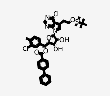 Cc1ccc([C@@H](OC(=O)c2ccc(-c3ccccc3)cc2)[C@H]2O[C@@H](n3cc(CCO[Si](C)(C)C(C)(C)C)c4c(Cl)ncnc43)[C@H](O)[C@@H]2O)cc1Cl